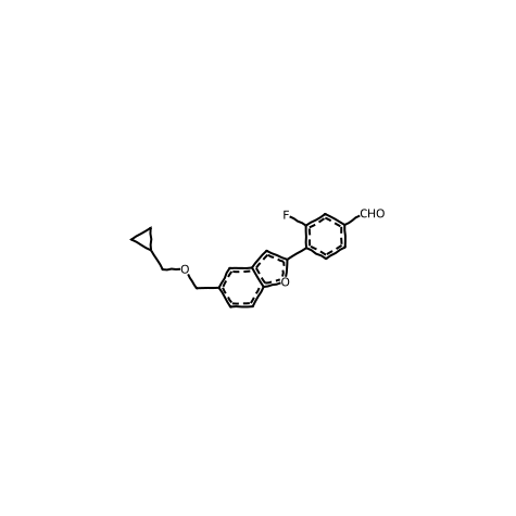 O=Cc1ccc(-c2cc3cc(COCC4CC4)ccc3o2)c(F)c1